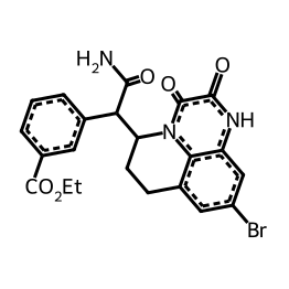 CCOC(=O)c1cccc(C(C(N)=O)C2CCc3cc(Br)cc4[nH]c(=O)c(=O)n2c34)c1